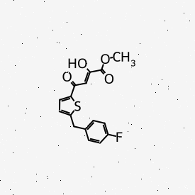 COC(=O)C(O)=CC(=O)c1ccc(Cc2ccc(F)cc2)s1